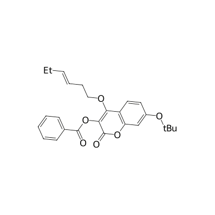 CCC=CCCOc1c(OC(=O)c2ccccc2)c(=O)oc2cc(OC(C)(C)C)ccc12